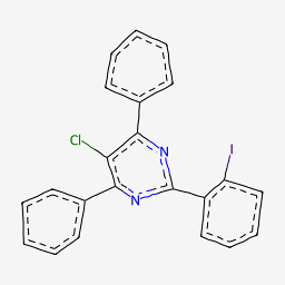 Clc1c(-c2ccccc2)nc(-c2ccccc2I)nc1-c1ccccc1